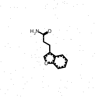 NC(=O)CCc1coc2ccccc12